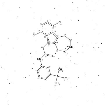 CC(C)(C)c1cccc(NC(=O)Cn2c3c(c4c(Cl)ccc(Cl)c42)CCNCC3)c1